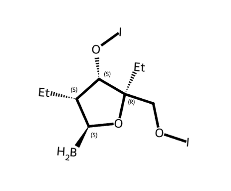 B[C@@H]1O[C@](CC)(COI)[C@@H](OI)[C@H]1CC